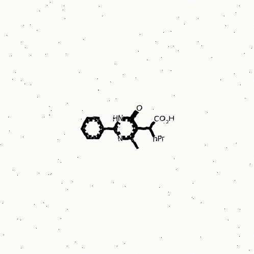 CCCC(C(=O)O)c1c(C)nc(-c2ccccc2)[nH]c1=O